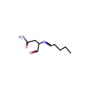 CCCC/C=N/C(C=O)CC(N)=O